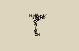 CN[S+]([O-])c1ccc(-c2cnc(N)c(C(=O)Nc3cccc(COCCOCCOCCO)c3)n2)cc1